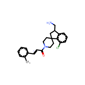 NCC1CC2(CCN(C(=O)/C=C/c3ccccc3C(F)(F)F)CC2)c2c(Cl)cccc21